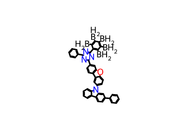 Bc1c(B)c(B)c(-c2nc(-c3ccccc3)nc(-c3ccc4c(c3)oc3ccc(-n5c6ccccc6c6ccc(-c7ccccc7)cc65)cc34)n2)c(B)c1B